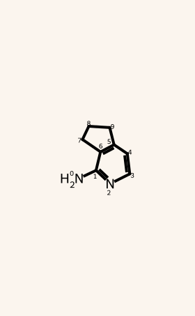 Nc1nccc2c1CCC2